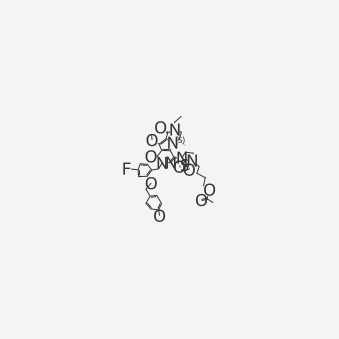 CCN1C[C@H](C)n2c(c(OC)c3c(=O)n(Cc4ccc(F)cc4OCc4ccc(OC)cc4)nc(N4CCN(CCCCOC(C)=O)S4(=O)=O)c32)C1=O